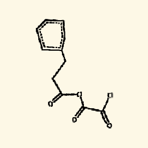 O=C(CCc1ccccc1)OC(=O)C(=O)Cl